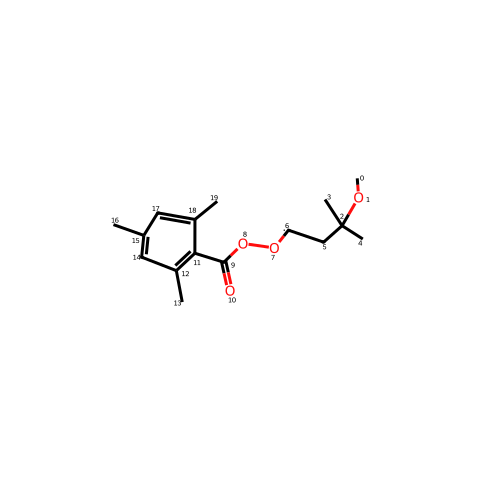 COC(C)(C)C[CH]OOC(=O)c1c(C)cc(C)cc1C